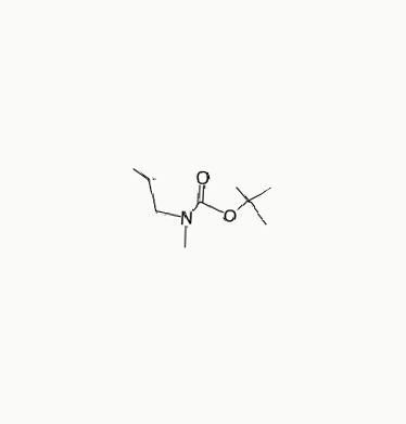 C[CH]CN(C)C(=O)OC(C)(C)C